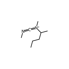 CCCC(C)[N+](C)=C=NC